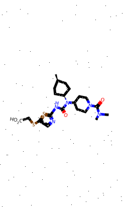 CN(C)C(=O)N1CCC(N(C(=O)Nc2ncc(SCC(=O)O)s2)[C@H]2CC[C@H](C)CC2)CC1